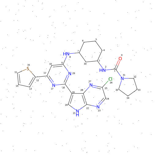 O=C(NC1CCCC(Nc2cc(-c3cccs3)nc(-c3c[nH]c4ncc(Cl)nc34)n2)C1)N1CCCC1